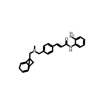 CN(Cc1ccc(/C=C/C(=O)Nc2ccccc2N)cc1)CC12CC3C1=CCC=C32